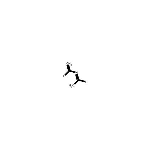 C=C(F)/N=C(\C)F